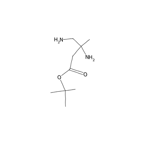 CC(N)(CN)CC(=O)OC(C)(C)C